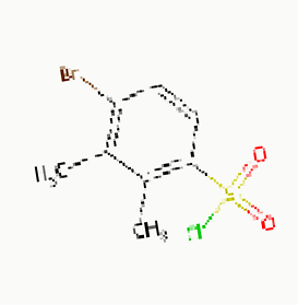 Cc1c(Br)ccc(S(=O)(=O)Cl)c1C